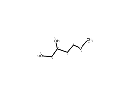 COCCC(O)CO